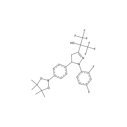 CC1(C)OB(c2ccc(C3CC(C(O)(C(F)(F)F)C(F)(F)F)=NN3c3ccc(F)cc3F)cc2)OC1(C)C